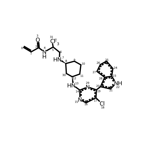 C=CC(=O)NC(CN[C@H]1CCC[C@@H](Nc2ncc(Cl)c(-c3c[nH]c4ccccc34)n2)C1)C(F)(F)F